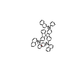 c1ccc(N(c2ccc3c(c2)C2(c4ccccc4-c4cc(N(c5ccccc5)c5cccc6ccccc56)ccc42)c2cc(N(c4ccccc4)c4cccc5ccccc45)ccc2-3)c2ccc3ccccc3c2)cc1